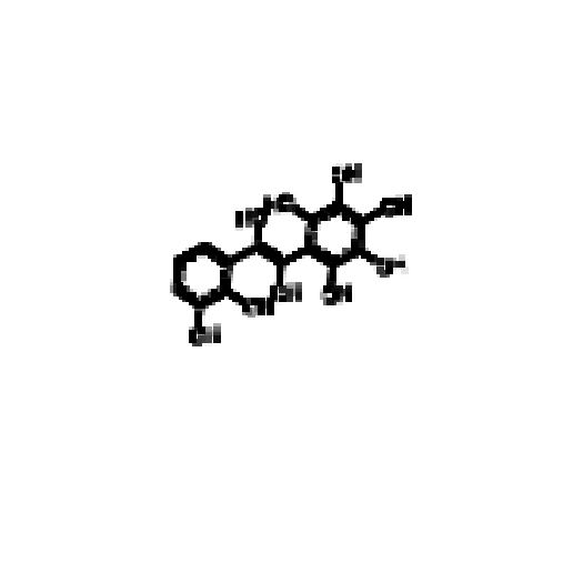 OC(=C(O)c1c(O)c(O)c(O)c(O)c1O)c1cccc(O)c1O